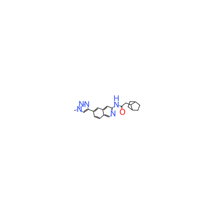 Cn1cc(-c2ccc3cnc(NC(=O)CC4C5CCC4CC5)cc3c2)nn1